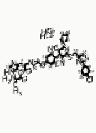 C[C@H](N)C(=O)OC(=O)[C@H](Cc1c[nH]cn1)NCCOc1ccc(-c2c(C#N)c(SCc3csc(-c4ccc(Cl)cc4)n3)nc(N3CCCC3)c2C#N)cc1.Cl.Cl